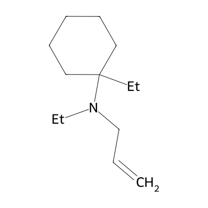 C=CCN(CC)C1(CC)CCCCC1